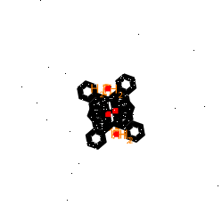 PC(c1ccccc1)(c1ccccc1)c1cccc(C(P)(c2ccccc2)c2ccccc2)c1-c1c(C(P)(c2ccccc2)c2ccccc2)cccc1C(P)(c1ccccc1)c1ccccc1